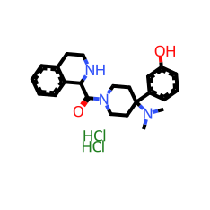 CN(C)C1(c2cccc(O)c2)CCN(C(=O)C2NCCc3ccccc32)CC1.Cl.Cl